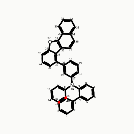 c1ccc(-c2ccccc2N(c2ccccc2)c2cccc(-c3cccc4oc5c6ccccc6ccc5c34)c2)cc1